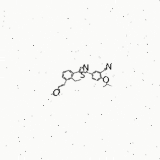 CCc1c(C=COC)cccc1-c1cnc(-c2ccc(OC(C)C)c(C#N)c2)s1